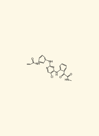 C=CC(=O)Nc1cccc(Nc2ncc(Cl)c(Nc3ccccc3C(=O)C(=O)NC)n2)c1